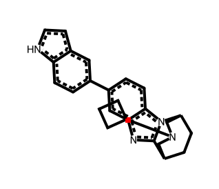 c1cc2cc(-c3ccc4c(c3)nc3n4C4CCC3CN(C3CCC3)C4)ccc2[nH]1